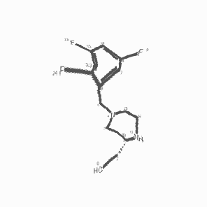 OC[C@@H]1CN(Cc2cc(F)cc(F)c2F)CCN1